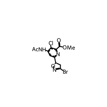 COC(=O)c1nc(C2CC(Br)=NO2)cc(NC(C)=O)c1Cl